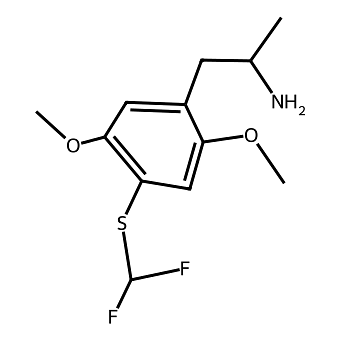 COc1cc(SC(F)F)c(OC)cc1CC(C)N